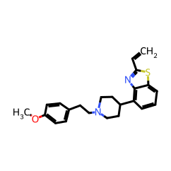 C=Cc1nc2c(C3CCN(CCc4ccc(OC)cc4)CC3)cccc2s1